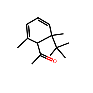 CC(=O)C1C(C)=CC=CC1(C)C(C)(C)C